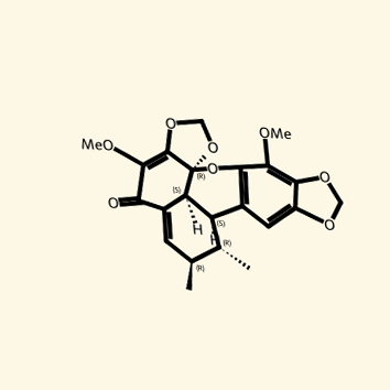 COC1=C2OCO[C@@]23Oc2c(cc4c(c2OC)OCO4)[C@H]2[C@H](C)[C@@H](C)C=C(C1=O)[C@H]23